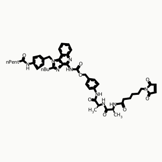 CCCCCC(=O)Nc1ccc(Cn2c(CCCC)nc3c(NC(=O)OCc4ccc(NC(=O)[C@H](C)NC(=O)[C@H](C)NC(=O)CCCCCN5C(=O)C=CC5=O)cc4)nc4ccccc4c32)cc1